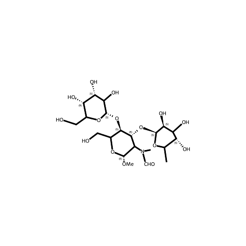 CO[C@@H]1OC(CO)[C@@H](O[C@@H]2OC(CO)[C@H](O)[C@H](O)C2O)[C@H](O[C@@H]2OC(C)[C@@H](O)C(O)[C@@H]2O)C1N(C)C=O